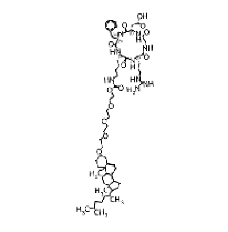 CC(C)CCCC(C)C1CCC2C3CC=C4CC(OCCOCCOCCOCCOC(=O)NCCCC[C@@H]5NC(=O)[C@@H](Cc6ccccc6)NC(=O)[C@H](CC(=O)O)NC(=O)CNC(=O)[C@H](CCCNC(=N)N)NC5=O)CCC4(C)C3CCC12C